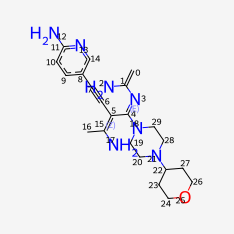 C=C(N)/N=C(\C(C#Cc1ccc(N)nc1)=C(\C)N)N1CCN(C2CCOCC2)CC1